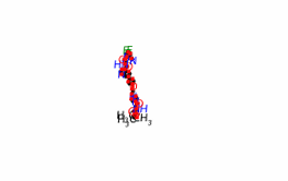 CC(C)(C)OC(=O)NCC(=O)N1CCN(CCCOc2ccc(-c3ccc4c(C(=O)NCC(=O)N5CC(F)(F)C[C@H]5C#N)ccnc4c3)cc2)CC1